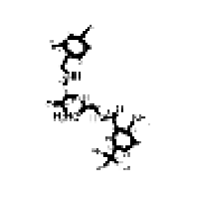 Cc1ccc(CNC[C@H](NC(=O)CNC(=O)c2cc(C(F)(F)F)ccc2N)C(N)=O)c(C)c1